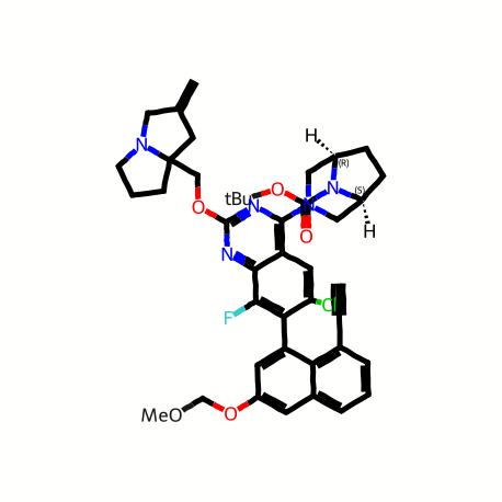 C#Cc1cccc2cc(OCOC)cc(-c3c(Cl)cc4c(N5C[C@H]6CC[C@@H](C5)N6C(=O)OC(C)(C)C)nc(OCC56CCCN5CC(=C)C6)nc4c3F)c12